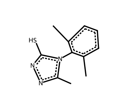 Cc1cccc(C)c1-n1c(C)nnc1S